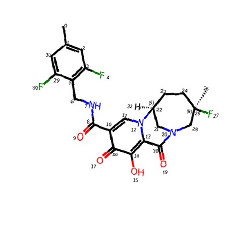 Cc1cc(F)c(CNC(=O)c2cn3c(c(O)c2=O)C(=O)N2C[C@@H]3CC[C@@](C)(F)C2)c(F)c1